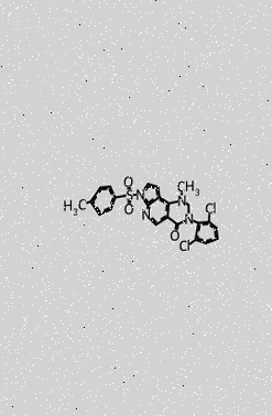 Cc1ccc(S(=O)(=O)n2ccc3c4c(cnc32)C(=O)N(c2c(Cl)cccc2Cl)CN4C)cc1